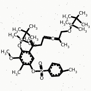 C=C(CC=C=C(C)CO[Si](C)(C)C(C)(C)C)c1cc(OS(=O)(=O)c2ccc(C)cc2)c(C)c(OC)c1O[Si](C)(C)C(C)(C)C